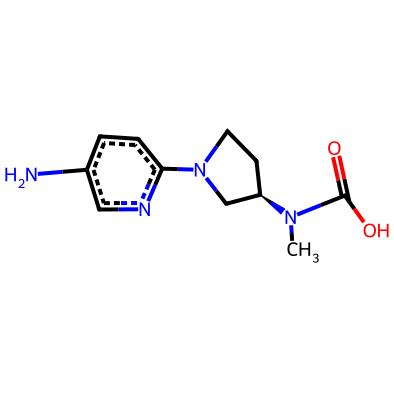 CN(C(=O)O)[C@@H]1CCN(c2ccc(N)cn2)C1